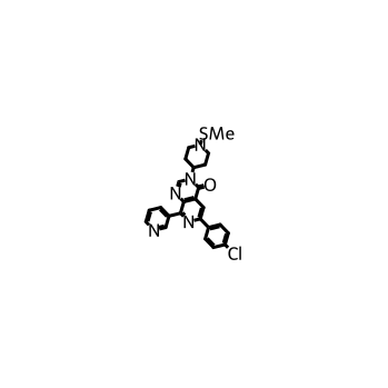 CSN1CCC(n2cnc3c(-c4cccnc4)nc(-c4ccc(Cl)cc4)cc3c2=O)CC1